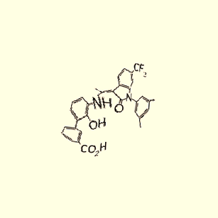 C/C(Nc1cccc(-c2cccc(C(=O)O)c2)c1O)=C1/C(=O)N(c2cc(C)cc(C)c2)c2cc(C(F)(F)F)ccc21